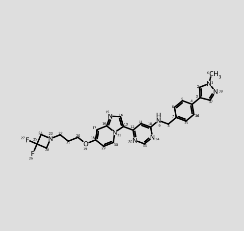 Cn1cc(-c2ccc(CNc3cc(-c4cnc5cc(OCCCN6CC(F)(F)C6)ccn45)ncn3)cc2)cn1